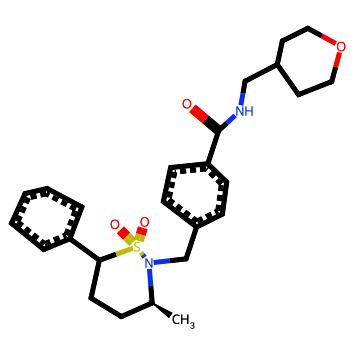 C[C@H]1CCC(c2ccccc2)S(=O)(=O)N1Cc1ccc(C(=O)NCC2CCOCC2)cc1